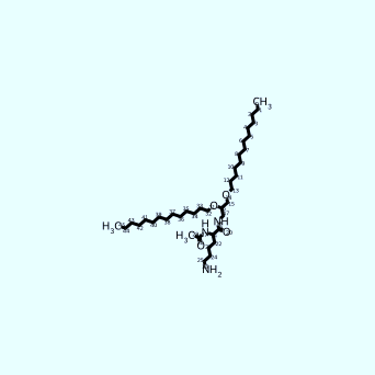 CCCCCCCCCCCCCCOCC(CNC(=O)C(CCCCN)NC(C)=O)OCCCCCCCCCCCCCC